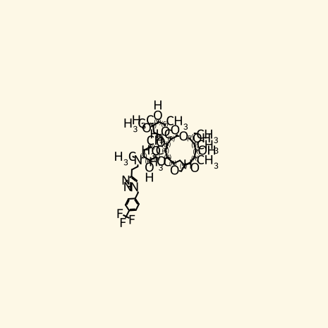 CC[C@H]1OC(=O)[C@H](C)[C@@H](O[C@H]2C[C@@](C)(OC)[C@@H](O)[C@H](C)O2)[C@H](C)[C@@H](O[C@@H]2O[C@H](C)C[C@H](N(C)CCc3cn(Cc4ccc(C(F)(F)F)cc4)nn3)[C@H]2O)[C@@]2(C)C[C@@H](CO2)C(=O)[C@H](C)[C@@H](O)[C@]1(C)O